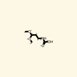 COC(CCNC(=O)O)OC